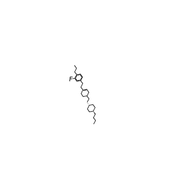 CCCC[C@H]1CC[C@H](CCC2CC=C(CCc3ccc(CCC)c(F)c3)CC2)CC1